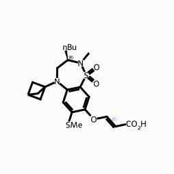 CCCC[C@@H]1CN(C23CC(C2)C3)c2cc(SC)c(O/C=C/C(=O)O)cc2S(=O)(=O)N1C